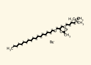 CCCCCCCCCCCCCCCCCCOCC(COCCCC[N+](C)(C)C)OC(C)=O.[Br-]